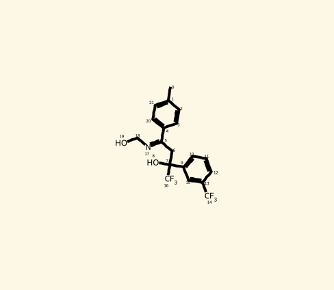 Cc1ccc(/C(CC(O)(c2cccc(C(F)(F)F)c2)C(F)(F)F)=N\CO)cc1